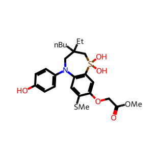 CCCCC1(CC)CN(c2ccc(O)cc2)c2cc(SC)c(OCC(=O)OC)cc2S(O)(O)C1